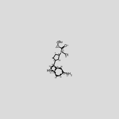 CCN(C(=O)OC(C)(C)C)C1CCC(c2c[nH]c3ccc(N)cc23)C1